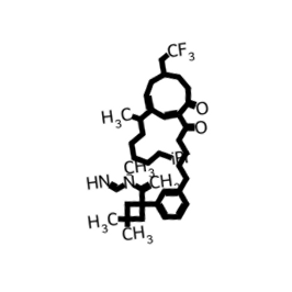 C=C(N(C)C=N)C1(c2cccc(CCCCC(=O)/C3=C/C(C(C)CCCCCC(C)C)=C\CC(CC(F)(F)F)CCC3=O)c2)CC(C)(C)C1